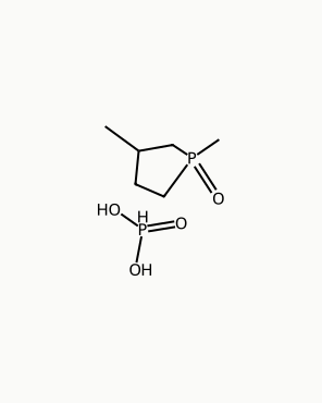 CC1CCP(C)(=O)C1.O=[PH](O)O